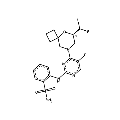 NS(=O)(=O)c1ccccc1Nc1ncc(F)c(N2C[C@H](C(F)F)OC3(CCC3)C2)n1